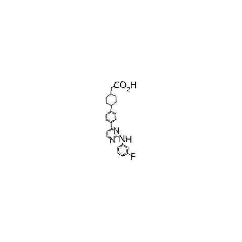 O=C(O)CC1CCC(c2ccc(-c3ccnc(Nc4cccc(F)c4)n3)cc2)CC1